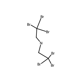 BrC(Br)(Br)C[N]CC(Br)(Br)Br